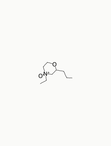 CCCC1C[N+]([O-])(CC)CCO1